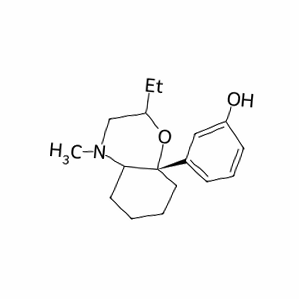 CCC1CN(C)C2CCCC[C@@]2(c2cccc(O)c2)O1